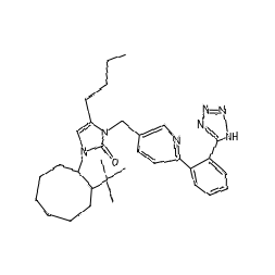 CCCCc1cn(C2CCCCCCC2C(C)(C)C)c(=O)n1Cc1ccc(-c2ccccc2-c2nnn[nH]2)nc1